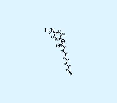 C=CCCCCCCCC(=O)Oc1ccc(N)cc1